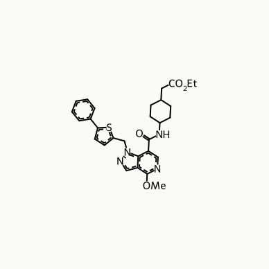 CCOC(=O)CC1CCC(NC(=O)c2cnc(OC)c3cnn(Cc4ccc(-c5ccccc5)s4)c23)CC1